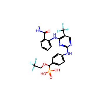 CNC(=O)c1ccccc1Nc1nc(Nc2ccc(C(OCC(F)(F)F)P(=O)(O)O)cc2)ncc1C(F)(F)F